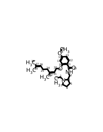 CCN1CCCC1CNC(=O)c1ccc(OC)cc1OCC=C(C)CCC=C(C)C